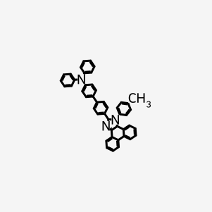 Cc1ccc(N2C(c3ccc(-c4ccc(N(c5ccccc5)c5ccccc5)cc4)cc3)N=C3c4ccccc4-c4ccccc4C32)cc1